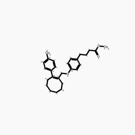 COC(=O)CCCc1ccc(OC/C2=C(\c3ccc(C)cc3)CCCCCC2)cc1